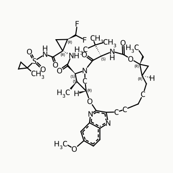 CC[C@@]12C[C@H]1CCCCCc1nc3ccc(OC)cc3nc1O[C@H]1CN(C(=O)[C@H](C(C)(C)C)NC(=O)O2)[C@H](C(=O)N[C@]2(C(=O)NS(=O)(=O)C3(C)CC3)C[C@H]2C(F)F)[C@@H]1C